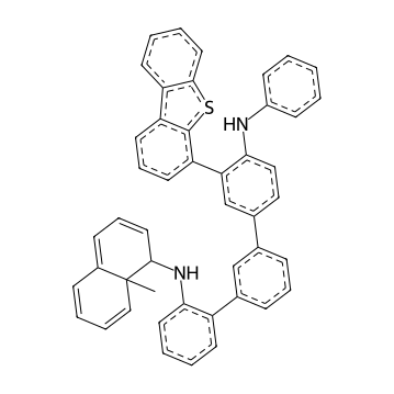 CC12C=CC=CC1=CC=CC2Nc1ccccc1-c1cccc(-c2ccc(Nc3ccccc3)c(-c3cccc4c3sc3ccccc34)c2)c1